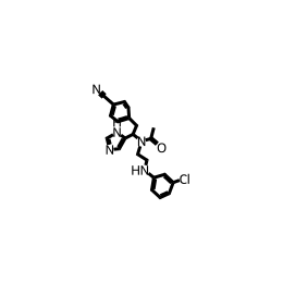 CC(=O)N(CCNc1cccc(Cl)c1)C(Cc1ccc(C#N)cc1)c1cnc[nH]1